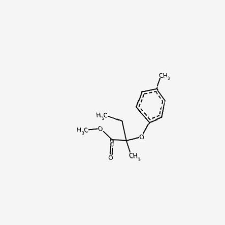 CCC(C)(Oc1ccc(C)cc1)C(=O)OC